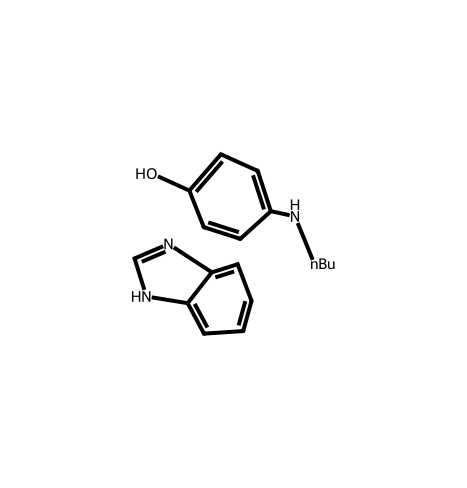 CCCCNc1ccc(O)cc1.c1ccc2[nH]cnc2c1